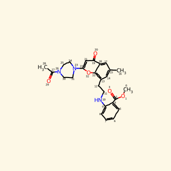 COC(=O)c1ccccc1NCCc1cc(C)cc2c(=O)cc(N3CCN(C(C)=O)CC3)oc12